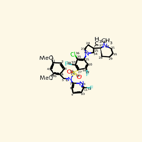 COc1ccc(CN(c2cccc(F)n2)S(=O)(=O)c2c(F)cc(N3CC[C@@](C)([C@@H]4CCCCN4C)C3)c(Cl)c2F)c(OC)c1